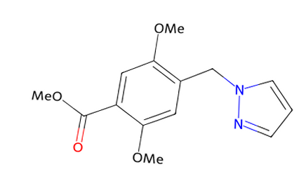 COC(=O)c1cc(OC)c(Cn2cccn2)cc1OC